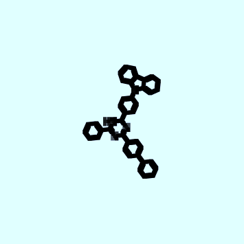 c1ccc(C2=NC(c3ccc(-c4ccccc4)cc3)=NC(c3ccc(-n4c5ccccc5c5ccccc54)cc3)N2)cc1